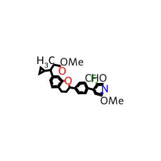 COC(=O)C(C)C(c1ccc2c(c1)OC(c1ccc(-c3cc(OC)ncc3F)c(C=O)c1)CC2)C1CC1